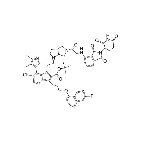 Cc1nn(C)c(C)c1-c1c(Cl)ccc2c(CCCOc3cccc4cc(F)ccc34)c(C(=O)OC(C)(C)C)n(CCN3CCC4CN(C(=O)CNc5cccc6c5C(=O)N(C5CCC(=O)NC5=O)C6=O)CC43)c12